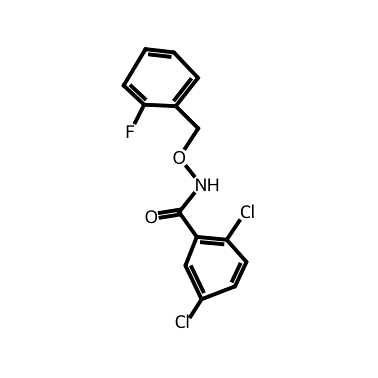 O=C(NOCc1ccccc1F)c1cc(Cl)ccc1Cl